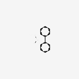 CCCCNCCC.c1ccc(-c2ccccc2)cc1